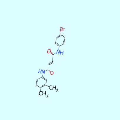 Cc1ccc(NC(=O)C=CC(=O)Nc2ccc(Br)cc2)cc1C